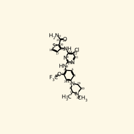 C[C@H]1CN(c2ccc(Nc3ncc(Cl)c(Nc4ccsc4C(N)=O)n3)c(OC(F)(F)F)c2)CCN1C